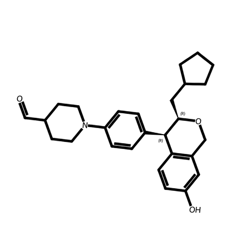 O=CC1CCN(c2ccc([C@@H]3c4ccc(O)cc4CO[C@@H]3CC3CCCC3)cc2)CC1